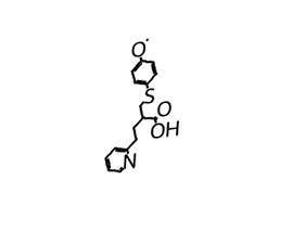 COc1ccc(SCC(CCc2ccccn2)C(=O)O)cc1